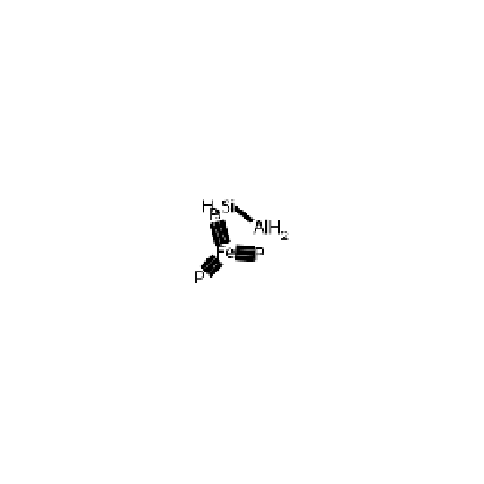 [AlH2][SiH3].[P]#[Fe](#[P])#[P]